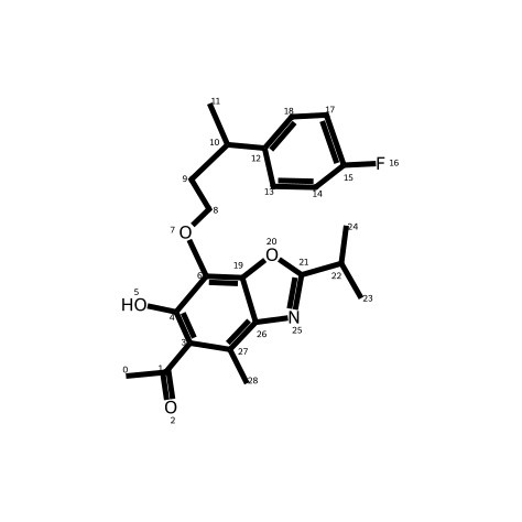 CC(=O)c1c(O)c(OCCC(C)c2ccc(F)cc2)c2oc(C(C)C)nc2c1C